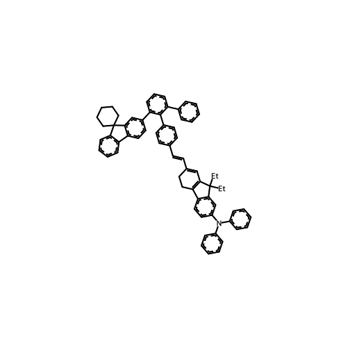 CCC1(CC)C2=C(CCC(/C=C/c3ccc(-c4c(-c5ccccc5)cccc4-c4ccc5c(c4)C4(CCCCC4)c4ccccc4-5)cc3)=C2)c2ccc(N(c3ccccc3)c3ccccc3)cc21